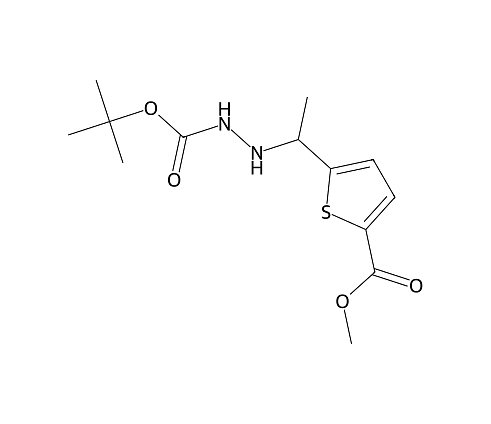 COC(=O)c1ccc(C(C)NNC(=O)OC(C)(C)C)s1